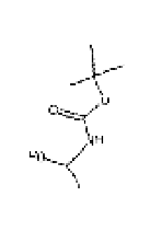 C[C](O)NC(=O)OC(C)(C)C